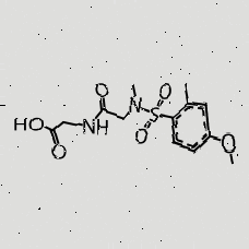 COc1ccc(S(=O)(=O)N(C)CC(=O)NCC(=O)O)c(C)c1